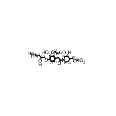 CC(C)(C)NCC(O)COc1ccc(CC(=O)N2CCC(CO[N+](=O)[O-])CC2)cc1.O=C(O)/C=C/C(=O)O